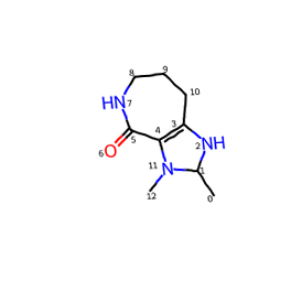 CC1NC2=C(C(=O)NCCC2)N1C